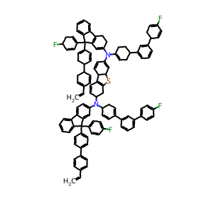 C=CC1=CCC(C2C=CC(C3(C4=CCC(F)C=C4)C4=C(CCC(N(C5=CC6SC7=C(C=CC(N(c8ccc9c(c8)C(c8ccc(F)cc8)(c8ccc(-c%10ccc(C=C)cc%10)cc8)c8ccccc8-9)C8C=CC(c9cccc(-c%10ccc(F)cc%10)c9)=CC8)C7)C6C=C5)C5=CCC(c6cccc(C7C=CC(F)=CC7)c6)CC5)=C4)c4ccccc43)=CC2)C=C1